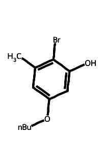 CCCCOc1cc(C)c(Br)c(O)c1